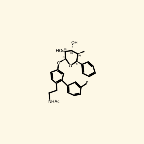 CC(=O)NCCc1ccc(O[C@@H]2O[C@H](c3ccccc3)[C@H](C)[C@@H](O)[C@H]2O)cc1-c1cccc(F)c1